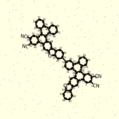 N#Cc1cc2c3cc4c(cc3c3c5ccc(-c6ccc7c(c6)oc6cc8c9cc(C#N)c(C#N)cc9c9c%10ccccc%10c%10ccccc%10c9c8cc67)cc5c5ccccc5c3c2cc1C#N)oc1ccccc14